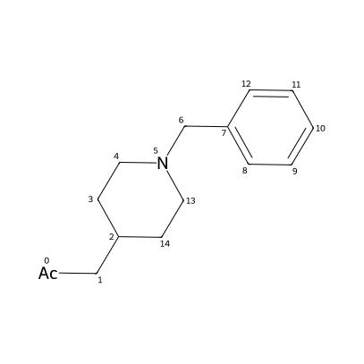 CC(=O)CC1CCN(Cc2ccccc2)CC1